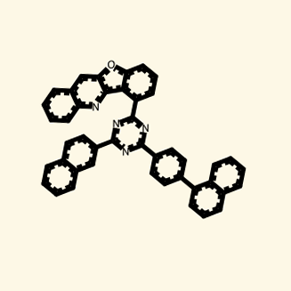 c1ccc2cc(-c3nc(-c4ccc(-c5cccc6ccccc56)cc4)nc(-c4cccc5oc6cc7ccccc7nc6c45)n3)ccc2c1